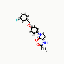 CC(=O)N[C@@H]1CCN(c2ccc(OCc3cccc(F)c3)cc2)C1=O